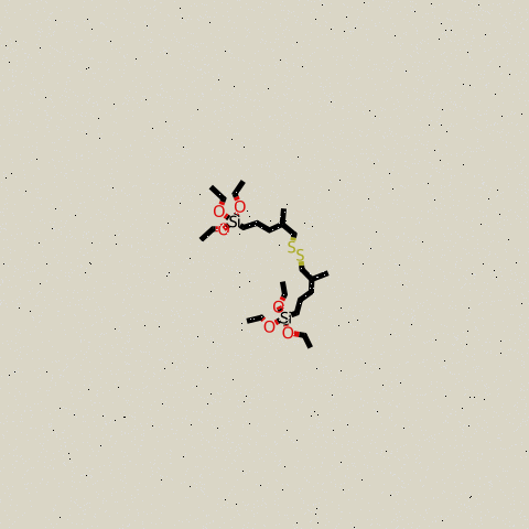 CCO[Si](CCCC(C)CSSCC(C)CCC[Si](OCC)(OCC)OCC)(OCC)OCC